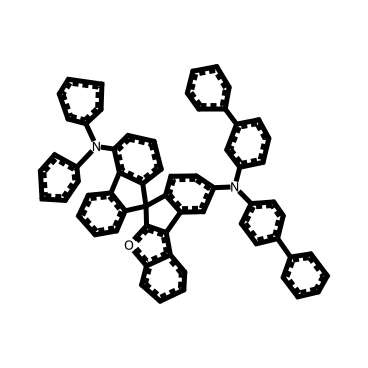 c1ccc(-c2ccc(N(c3cccc(-c4ccccc4)c3)c3ccc4c(c3)-c3c(oc5ccccc35)C43c4ccccc4-c4c(N(c5ccccc5)c5ccccc5)cccc43)cc2)cc1